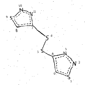 c1snnc1SSc1csnn1